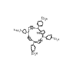 O=C(O)c1ccc(/C2=c3\cc/c([nH]3)=C(\c3ccc(S(=O)(=O)O)cc3)C3C=C/C(=C(\c4ccc(S(=O)(=O)O)cc4)c4ccc([nH]4)/C(c4ccc(S(=O)(=O)O)cc4)=C4/C=CC2N4)N3)cc1